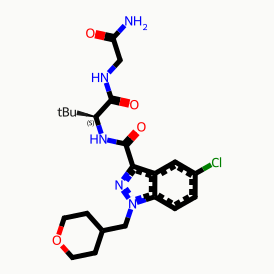 CC(C)(C)[C@H](NC(=O)c1nn(CC2CCOCC2)c2ccc(Cl)cc12)C(=O)NCC(N)=O